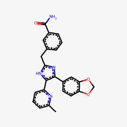 Cc1cccc(-c2[nH]c(Cc3cccc(C(N)=O)c3)nc2-c2ccc3c(c2)OCO3)n1